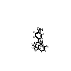 CC1=CC[C@H]2C[C@@H]1[C@H](c1ccc(O)cc1)OC2(C)C